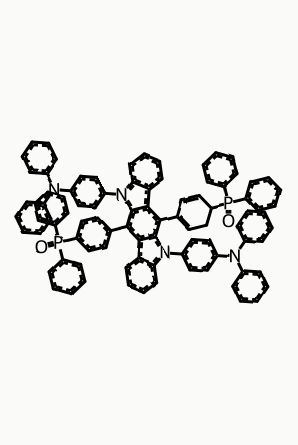 O=P(c1ccccc1)(c1ccccc1)c1ccc(-c2c3c4ccccc4n(-c4ccc(N(c5ccccc5)c5ccccc5)cc4)c3c(C3=CCC(P(=O)(c4ccccc4)c4ccccc4)C=C3)c3c4ccccc4n(-c4ccc(N(c5ccccc5)c5ccccc5)cc4)c23)cc1